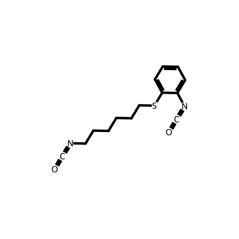 O=C=NCCCCCCSc1ccccc1N=C=O